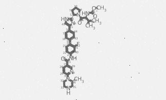 COC(=O)N[C@H](C(=O)N1CCC[C@H]1c1nc(-c2ccc(-c3ccc(NC(=O)c4ccc(N5CCNC[C@H]5C)nc4)cc3F)cc2)c[nH]1)C(C)C